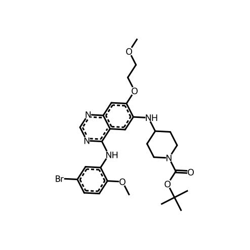 COCCOc1cc2ncnc(Nc3cc(Br)ccc3OC)c2cc1NC1CCN(C(=O)OC(C)(C)C)CC1